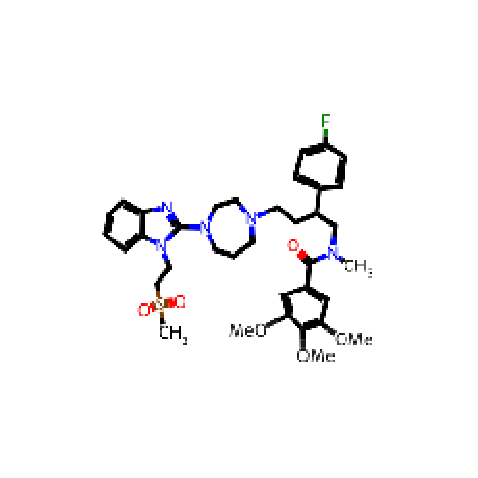 COc1cc(C(=O)N(C)CC(CCN2CCCN(c3nc4ccccc4n3CCS(C)(=O)=O)CC2)c2ccc(F)cc2)cc(OC)c1OC